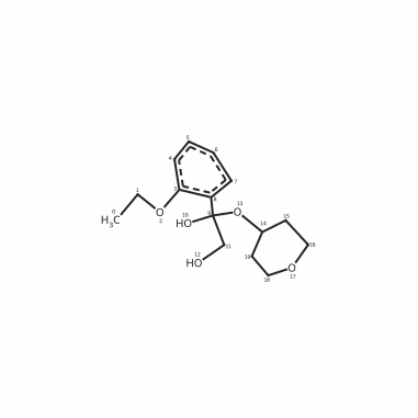 CCOc1ccccc1C(O)(CO)OC1CCOCC1